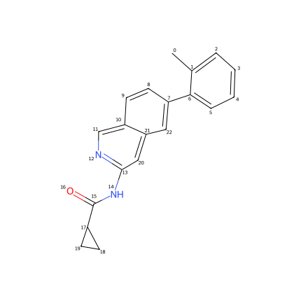 Cc1ccccc1-c1ccc2cnc(NC(=O)C3CC3)cc2c1